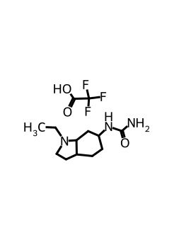 CCN1CCC2CCC(NC(N)=O)CC21.O=C(O)C(F)(F)F